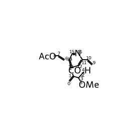 C=C(C(=O)O)C(C)OC.C=COC(C)=O.C=Cc1ccccn1